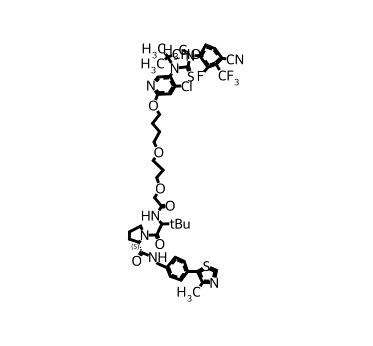 Cc1ncsc1-c1ccc(CNC(=O)[C@@H]2CCCN2C(=O)C(NC(=O)COCCCOCCCCOc2cc(Cl)c(N(C(=S)N(C)c3ccc(C#N)c(C(F)(F)F)c3F)C(C)(C)C=O)cn2)C(C)(C)C)cc1